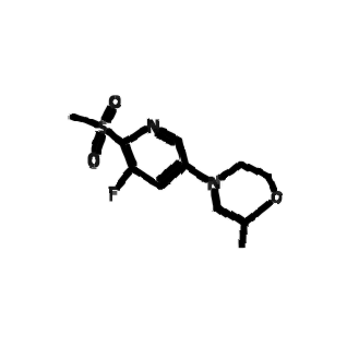 CC1CN(c2cnc(S(C)(=O)=O)c(F)c2)CCO1